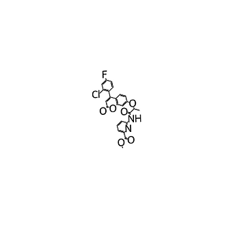 COC(=O)c1cccc(NC(=O)C(C)Oc2ccc3c(-c4ccc(F)cc4Cl)cc(=O)oc3c2)n1